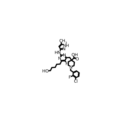 Cc1cc(Nc2nc(CCCCCO)c(F)c(CC3(C(=O)O)CCN(Cc4cccc(Cl)c4F)CC3)n2)n[nH]1